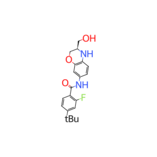 CC(C)(C)c1ccc(C(=O)Nc2ccc3c(c2)OC[C@@H](CO)N3)c(F)c1